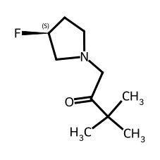 CC(C)(C)C(=O)CN1CC[C@H](F)C1